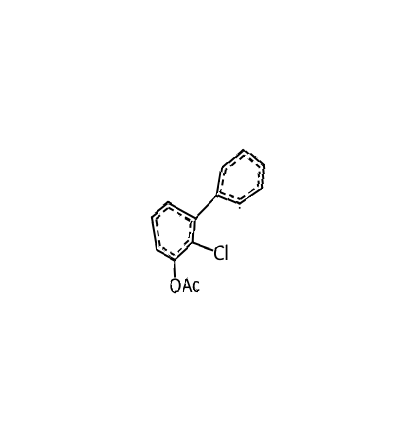 CC(=O)Oc1cccc(-c2[c]cccc2)c1Cl